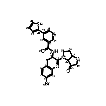 O=C(NC(Cc1ccc(Br)cc1)C(=O)N1CCC2OCC(=O)C21)c1cncc(-c2cccs2)c1